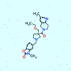 CCOCC1(C(=O)N2CCc3ncc(C)cc3C2)CCN(Cc2ccc3oc(=O)n(C)c3c2)C1